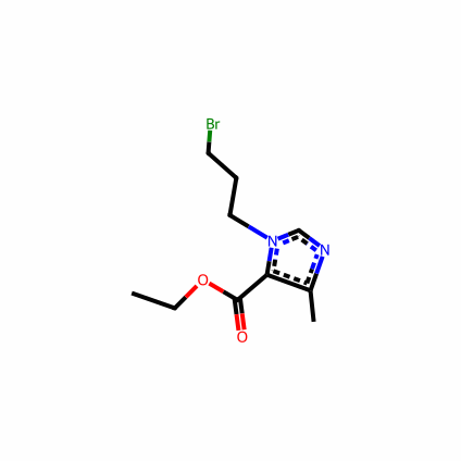 CCOC(=O)c1c(C)ncn1CCCBr